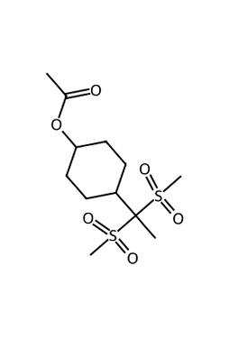 CC(=O)OC1CCC(C(C)(S(C)(=O)=O)S(C)(=O)=O)CC1